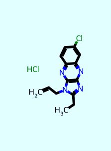 C=CCn1c(CC)nc2nc3cc(Cl)ccc3nc21.Cl